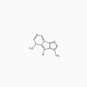 Cc1csc2c1[N+]([O-])=C1C2=CN=CC1C